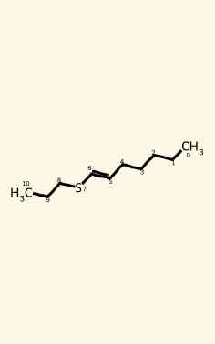 CCCCCC=CSCCC